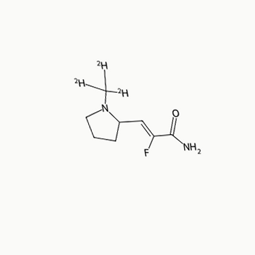 [2H]C([2H])([2H])N1CCCC1C=C(F)C(N)=O